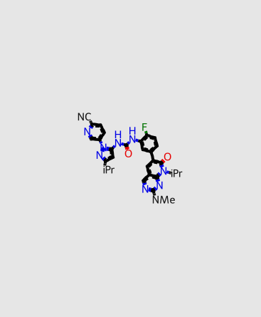 CNc1ncc2cc(-c3ccc(F)c(NC(=O)Nc4cc(C(C)C)nn4-c4ccc(C#N)nc4)c3)c(=O)n(C(C)C)c2n1